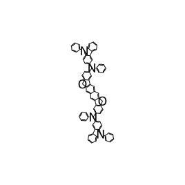 c1ccc(N(c2ccc3oc4cc5cc6c(cc5cc4c3c2)oc2ccc(N(c3ccccc3)c3ccc4c(c3)c3ccccc3n4-c3ccccc3)cc26)c2ccc3c(c2)c2ccccc2n3-c2ccccc2)cc1